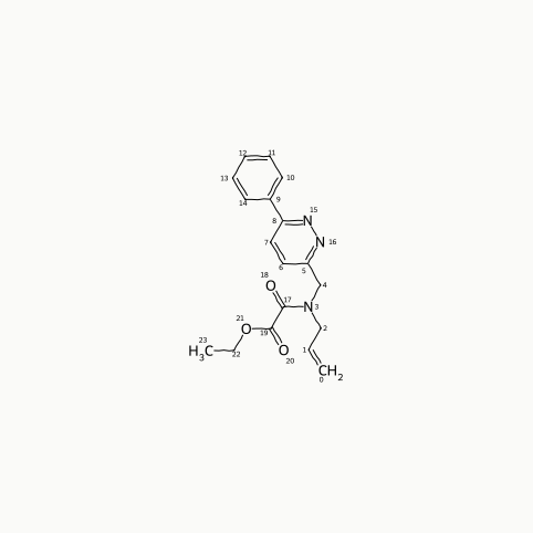 C=CCN(Cc1ccc(-c2ccccc2)nn1)C(=O)C(=O)OCC